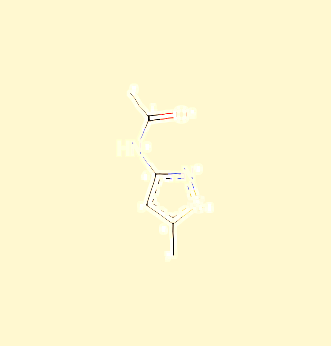 CC(=O)Nc1cc(C)sn1